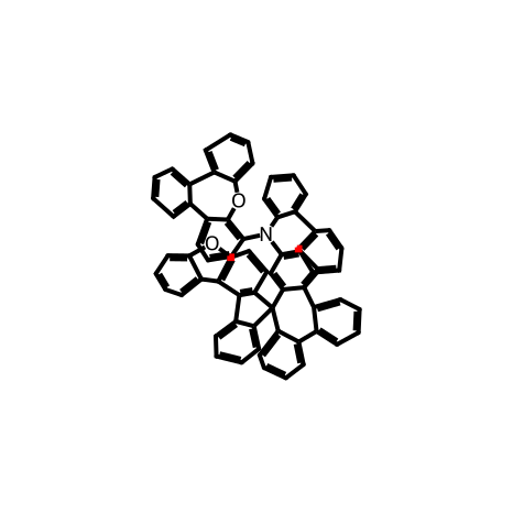 c1ccc(-c2ccccc2N(c2ccc3c(c2)C2(c4ccccc4-c4ccccc4-3)c3ccccc3-c3c2ccc2oc4ccccc4c32)c2cccc3c2Oc2ccccc2-c2ccccc2-3)cc1